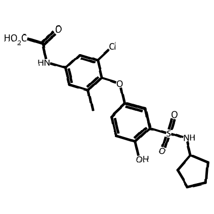 Cc1cc(NC(=O)C(=O)O)cc(Cl)c1Oc1ccc(O)c(S(=O)(=O)NC2CCCC2)c1